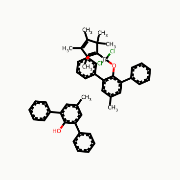 CC1=C(C)C(C)(C)[C]([Ti]([Cl])([Cl])[O]c2c(-c3ccccc3)cc(C)cc2-c2ccccc2)=C1C.Cc1cc(-c2ccccc2)c(O)c(-c2ccccc2)c1